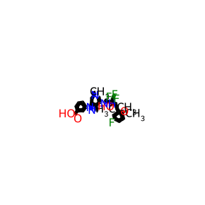 COc1ccc(F)cc1C(C)(C)CC(O)(CNC1=CN(C)Cc2c1cnn2-c1cccc(C(=O)O)c1)C(F)(F)F